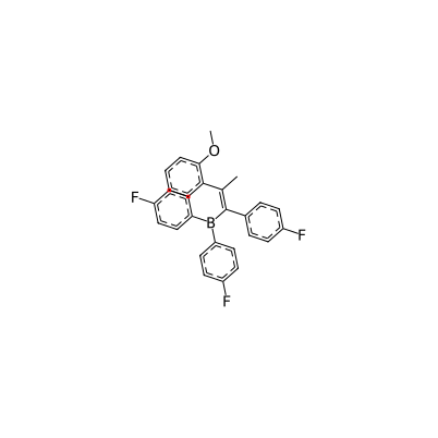 COc1ccccc1/C(C)=C(\B(c1ccc(F)cc1)c1ccc(F)cc1)c1ccc(F)cc1